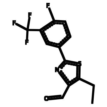 CCc1sc(-c2ccc(F)c(C(F)(F)F)c2)nc1C=O